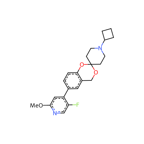 COc1cc(-c2ccc3c(c2)COC2(CCN(C4CCC4)CC2)O3)c(F)cn1